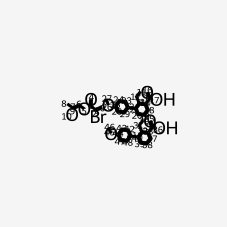 C=C(Br)C(=O)OC=C(C)OC.CCc1c(C(=O)O)cccc1-c1ccc(OC)cc1.CCc1c(C(=O)O)cccc1-c1ccc(OC)cc1